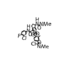 CNC(=O)Cl.CNC(=O)NC1CCc2c1cn(S(=O)(=O)c1ccccc1C)c2C(=O)Nc1ccc(F)c(Cl)c1